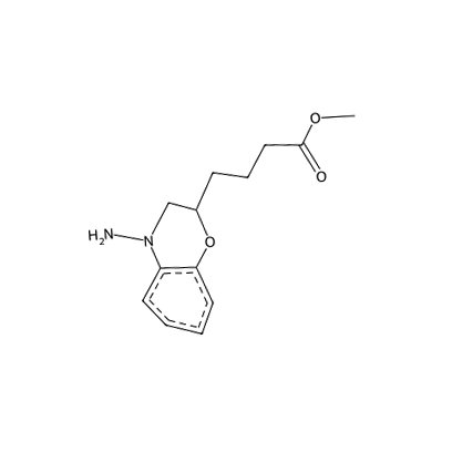 COC(=O)CCCC1CN(N)c2ccccc2O1